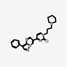 O=c1nc(-c2cnc3c(-c4ccccc4)cnn3c2)ccn1CCCN1CCCCC1